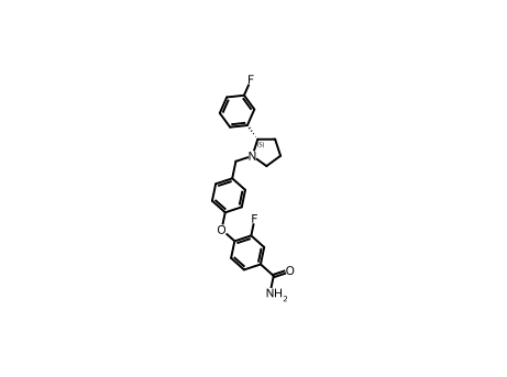 NC(=O)c1ccc(Oc2ccc(CN3CCC[C@H]3c3cccc(F)c3)cc2)c(F)c1